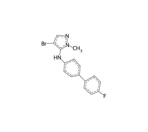 Cn1ncc(Br)c1Nc1ccc(-c2ccc(F)cc2)cc1